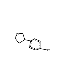 CC(C)c1ccc(C2CCNC2)cc1